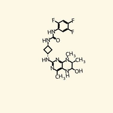 Cc1nc(N[C@H]2C[C@H](NC(=O)Nc3cc(F)c(F)cc3F)C2)nc2c1NC(O)[C@H](C)N2C